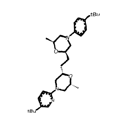 C[C@@H]1CN(c2ccc(C(C)(C)C)cn2)C[C@H](CC[C@@H]2CN(c3ccc(C(C)(C)C)cc3)C[C@H](C)O2)O1